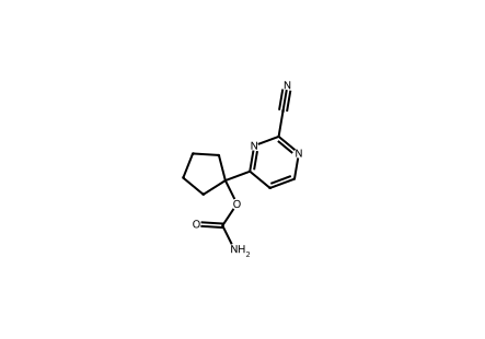 N#Cc1nccc(C2(OC(N)=O)CCCC2)n1